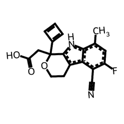 Cc1cc(F)c(C#N)c2c3c([nH]c12)C(CC(=O)O)(C1=CC=C1)OCC3